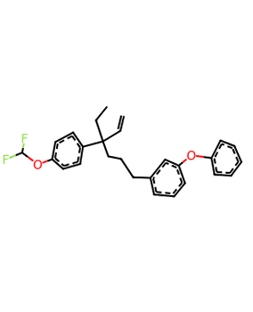 C=CC(CC)(CCCc1cccc(Oc2ccccc2)c1)c1ccc(OC(F)F)cc1